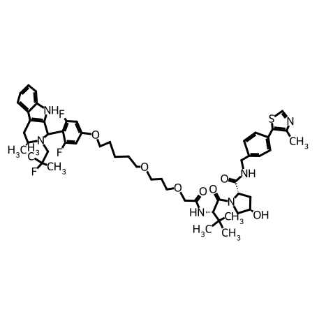 Cc1ncsc1-c1ccc(CNC(=O)[C@@H]2C[C@@H](O)CN2C(=O)[C@@H](NC(=O)COCCCOCCCCCOc2cc(F)c(C3c4[nH]c5ccccc5c4C[C@@H](C)N3CC(C)(C)F)c(F)c2)C(C)(C)C)cc1